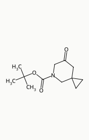 CC(C)(C)OC(=O)N1CC(=O)CC2(CC2)C1